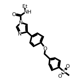 CCNC(=O)n1cnc(-c2ccc(OCc3ccc(S(C)(=O)=O)cc3)cc2)c1